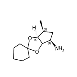 C[C@H]1C[C@@H](N)C2OC3(CCCCC3)O[C@H]21